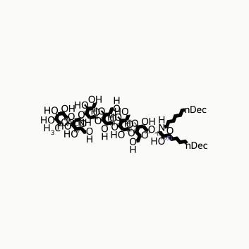 CCCCCCCCCCCCC/C=C/[C@@H](O)[C@H](CO[C@@H]1OC(CO)[C@@H](O[C@@H]2OC(CO)[C@H](O)[C@H](O[C@H]3OC(CO)[C@H](O)[C@H](O[C@@H]4OC(CO)[C@H](O)[C@H](O[C@@H]5OC(CO)[C@H](O)[C@H](O)C5O[C@H]5OC(C)[C@@H](O)C(O)[C@@H]5O)C4NC(C)=O)C3O)C2O)[C@H](O)C1O)NC(=O)CCCCCCCCCCCCCCC